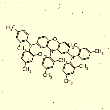 Cc1ccc(N(c2ccc3c(c2)N(c2ccc(C)cc2C)c2cc(N(c4ccc(C)cc4C)c4ccc(C)cc4C)ccc2O3)c2ccc(C)cc2C)c(C)c1